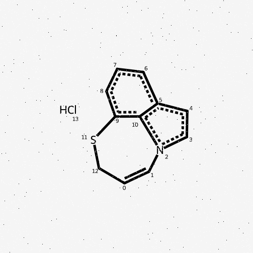 C1=Cn2ccc3cccc(c32)SC1.Cl